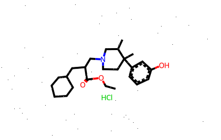 CCOC(=O)C(CC1CCCCC1)CN1CCC(C)(c2cccc(O)c2)C(C)C1.Cl